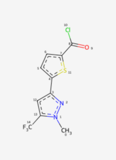 Cn1nc(-c2ccc(C(=O)Cl)s2)cc1C(F)(F)F